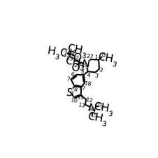 CC1CCC(c2ccc3scc(CCN(C)C)c3c2)N(C(=O)OC(C)(C)C)C1